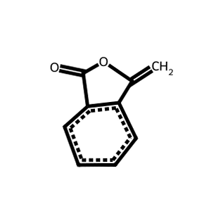 C=C1OC(=O)c2ccccc21